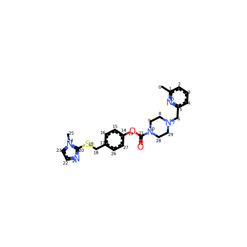 Cc1cccc(CN2CCN(C(=O)Oc3ccc(CSc4nccn4C)cc3)CC2)n1